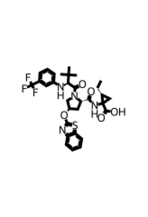 CC[C@@H]1CC1(NC(=O)[C@@H]1C[C@@H](Oc2nc3ccccc3s2)CN1C(=O)[C@@H](Nc1cccc(C(F)(F)F)c1)C(C)(C)C)C(=O)O